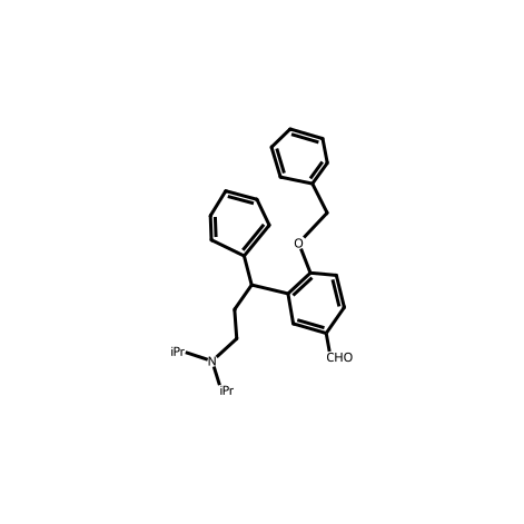 CC(C)N(CCC(c1ccccc1)c1cc(C=O)ccc1OCc1ccccc1)C(C)C